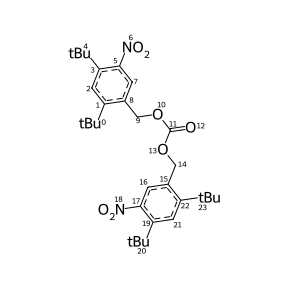 CC(C)(C)c1cc(C(C)(C)C)c([N+](=O)[O-])cc1COC(=O)OCc1cc([N+](=O)[O-])c(C(C)(C)C)cc1C(C)(C)C